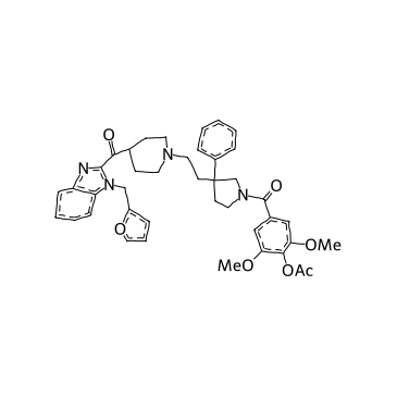 COc1cc(C(=O)N2CCC(CCN3CCC(C(=O)c4nc5ccccc5n4Cc4ccco4)CC3)(c3ccccc3)C2)cc(OC)c1OC(C)=O